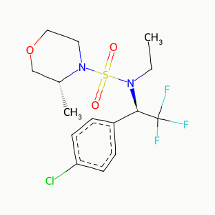 CCN([C@H](c1ccc(Cl)cc1)C(F)(F)F)S(=O)(=O)N1CCOC[C@H]1C